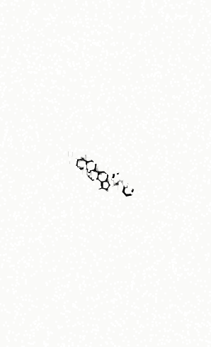 CCN1C([C@@]23CC[C@]4(C)C(CC[C@@H]5[C@@]6(C)CCC(C)C(C)(C)[C@@H]6CC[C@]54C)C2=C(C(C)C)C(=O)C3)=CCON1c1ccc(Cl)cn1